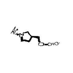 CC(=O)N1CCC(CO[C]=O)C1